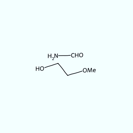 COCCO.NC=O